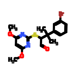 COc1cc(OC)nc(SC(C=O)C(C)(C)c2cccc(Br)c2)n1